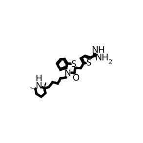 C[C@H]1CCC[C@@](C)(CCCCCN2C(=O)C(Cc3ccc(C(=N)N)s3)Sc3ccccc32)N1